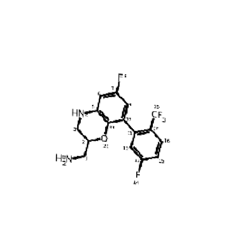 NCC1CNc2cc(F)cc(-c3cc(F)ccc3C(F)(F)F)c2O1